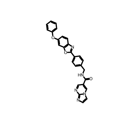 O=C(NCc1ccc(-c2nc3ccc(Oc4ccccc4)cc3o2)cc1)c1cnc2nccn2c1